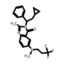 Cc1nc2ccc(N(C)CCC(F)(F)F)cc2c(=O)n1C(CC1CC1)c1ccccc1